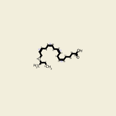 CCC(C)OC/C=C\C/C=C\C/C=C\C/C=C\CCCC(=O)O